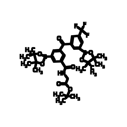 CC(C)(C)OC(=O)CNC(=O)c1cc(B2OC(C)(C)C(C)(C)O2)cc(C(=O)c2cc(B3OC(C)(C)C(C)(C)O3)cc(C(F)(F)F)c2)c1